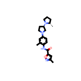 Cc1cc(C(=O)Nc2ccc(N3CC[C@@H](N4CCC[C@@H]4C)C3)cc2C)on1